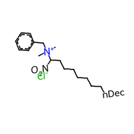 CCCCCCCCCCCCCCCCCC([N+](=O)[O-])[N+](C)(C)Cc1ccccc1.[Cl-]